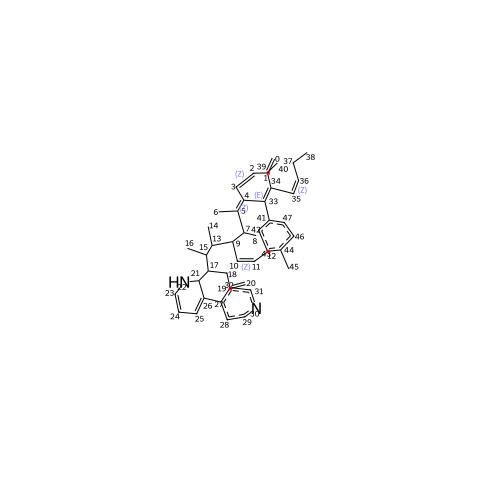 C=C\C=C/C(=C(\C)C(C)C(/C=C\C)C(C)C(C)C(CC=C)C1NC=CC=C1c1ccncc1)C(=C(/C=C\CC)CC)/c1ccc(C)cc1